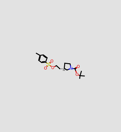 Cc1ccc(S(=O)(=O)OCC[C@@H]2CCN(C(=O)OC(C)(C)C)C2)cc1